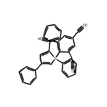 C#Cc1cc(C#C)c(S2(c3ccccc3)C=C(c3ccccc3)C=C2c2ccccc2)c(C#C)c1